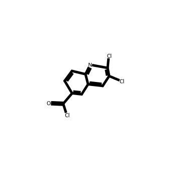 O=C(Cl)c1ccc2nc(Cl)c(Cl)cc2c1